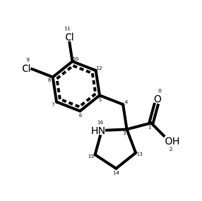 O=C(O)C1(Cc2ccc(Cl)c(Cl)c2)CCCN1